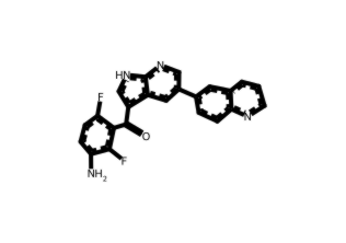 Nc1ccc(F)c(C(=O)c2c[nH]c3ncc(-c4ccc5ncccc5c4)cc23)c1F